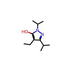 CCc1c(C(C)C)nn(C(C)C)c1O